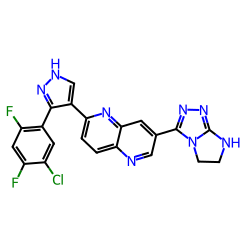 Fc1cc(F)c(-c2n[nH]cc2-c2ccc3ncc(-c4nnc5n4CCN5)cc3n2)cc1Cl